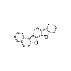 c1ccc2c(c1)ccc1oc3c(ccc4c5ccccc5oc43)c12